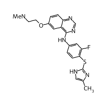 CNCCOc1ccc2ncnc(Nc3ccc(Sc4nc(C)c[nH]4)c(F)c3)c2c1